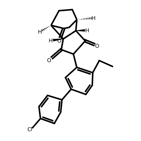 CCc1ccc(-c2ccc(Cl)cc2)cc1C1C(=O)[C@H]2[C@@H]3CC[C@@H](C(=O)C3)[C@H]2C1=O